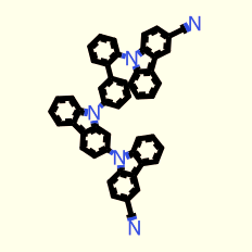 N#Cc1ccc2c(c1)c1ccccc1n2-c1ccc2c3ccccc3n(-c3cccc(-c4ccccc4-n4c5ccccc5c5cc(C#N)ccc54)c3)c2c1